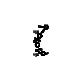 C[C@@H](NC(=O)[C@H]1CC[C@H](NS(=O)(=O)c2ccc(C#Cc3ccccc3C#N)c(N)c2)CC1)c1ccc(F)cc1